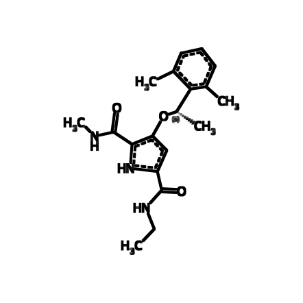 CCNC(=O)c1cc(O[C@@H](C)c2c(C)cccc2C)c(C(=O)NC)[nH]1